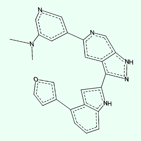 CN(C)c1cncc(-c2cc3c(-c4cc5c(-c6ccoc6)cccc5[nH]4)n[nH]c3cn2)c1